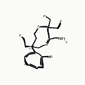 NC1=N[C@](CF)(c2c[c]ccc2F)COC1(CF)CF